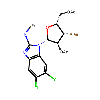 CC(=O)OC[C@H]1O[C@@H](n2c(NC(C)C)nc3cc(Cl)c(Cl)cc32)[C@H](OC(C)=O)[C@H]1Br